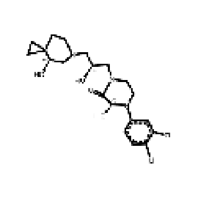 C[C@H]1C(=O)N(C[C@@H](O)CN2CCC3(CC3)[C@H](O)C2)CCN1c1ccc(Cl)c(Cl)c1